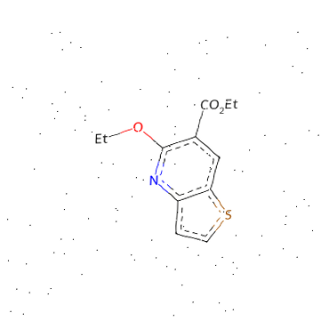 CCOC(=O)c1cc2sccc2nc1OCC